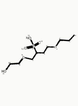 CCCOCCC(COCCO)S(=O)(=O)O